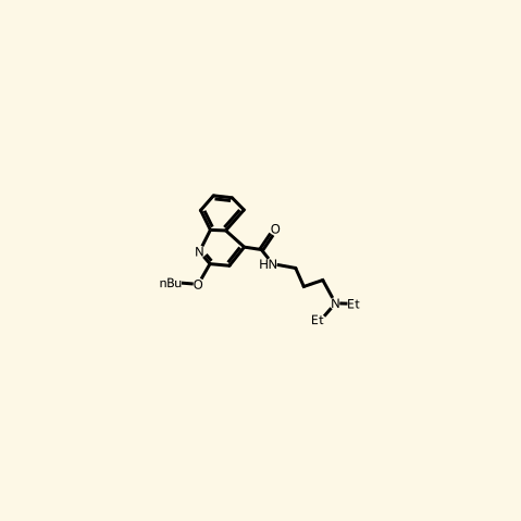 CCCCOc1cc(C(=O)NCCCN(CC)CC)c2ccccc2n1